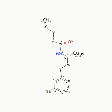 C=CCCC(=O)N[C@@H](CCc1cccc(Cl)c1)C(=O)O